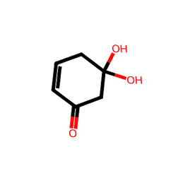 O=C1C=CCC(O)(O)C1